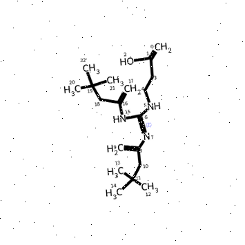 C=C(O)CCN/C(=N/C(=C)CC(C)(C)C)NC(=C)CC(C)(C)C